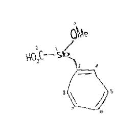 C[O][Sb]([C](=O)O)[c]1ccccc1